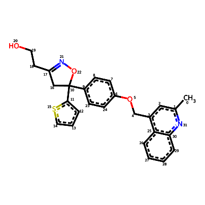 Cc1cc(COc2ccc(C3(c4cccs4)CC(CCO)=NO3)cc2)c2ccccc2n1